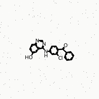 O=C(c1ccccc1)c1ccc(Nc2ncnc3ccc(O)cc23)cc1Cl